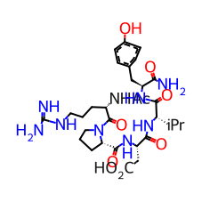 CC(=O)N[C@@H](CCCNC(=N)N)C(=O)N1CCC[C@H]1C(=O)N[C@@H](CC(=O)O)C(=O)N[C@H](C(=O)N[C@@H](Cc1ccc(O)cc1)C(N)=O)C(C)C